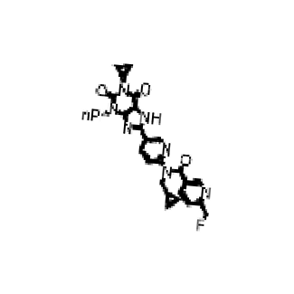 CCCn1c(=O)n(C2CC2)c(=O)c2[nH]c(-c3ccc(N(CC4CC4)C(=O)c4ccc(CF)nc4)nc3)nc21